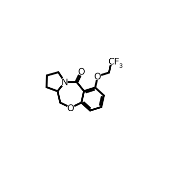 O=C1c2c(cccc2OCC(F)(F)F)OCC2CCCN12